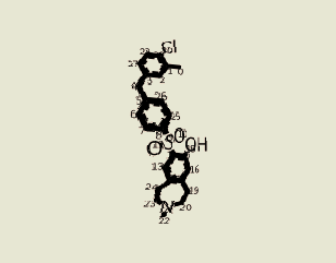 Cc1cc(Cc2ccc(S(=O)(=O)c3cc4c(cc3O)CCN(C)CC4)cc2)ccc1Cl